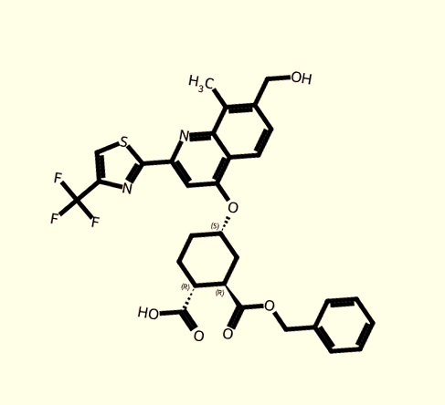 Cc1c(CO)ccc2c(O[C@H]3CC[C@@H](C(=O)O)[C@H](C(=O)OCc4ccccc4)C3)cc(-c3nc(C(F)(F)F)cs3)nc12